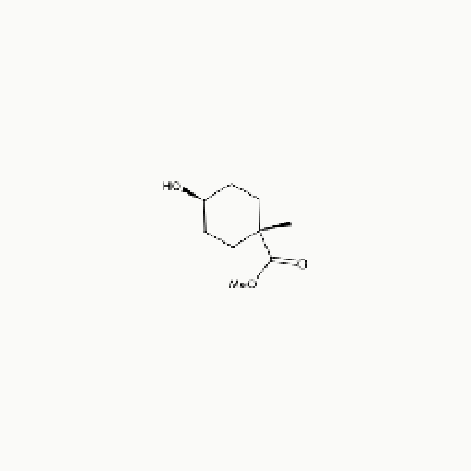 COC(=O)[C@]1(C)CC[C@@H](O)CC1